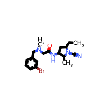 CCC1CC(NC(=O)CN(C)Cc2cccc(Br)c2)C(C)N1C#N